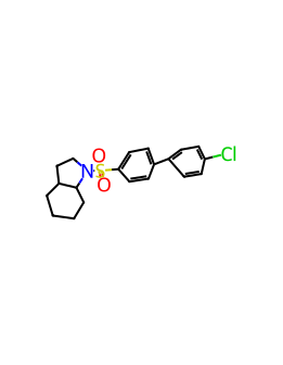 O=S(=O)(c1ccc(-c2ccc(Cl)cc2)cc1)N1CCC2CCCCC21